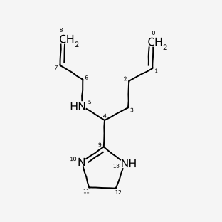 C=CCCC(NCC=C)C1=NCCN1